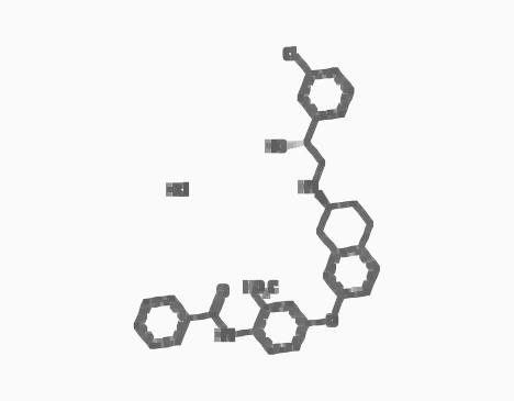 Cl.O=C(Nc1ccc(Oc2ccc3c(c2)C[C@@H](NC[C@H](O)c2cccc(Cl)c2)CC3)cc1C(=O)O)c1ccccc1